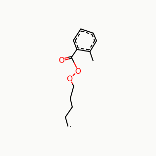 [CH2]CCCCOOC(=O)c1ccccc1C